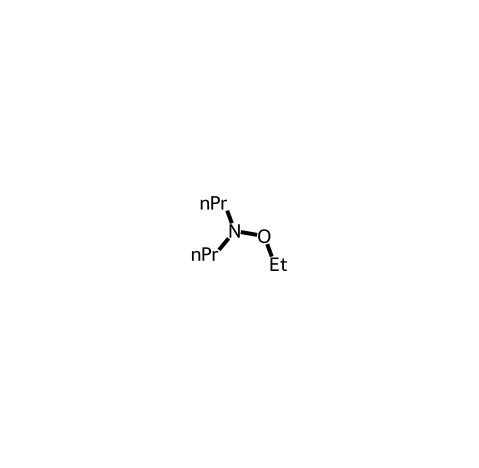 CCCN(CCC)OCC